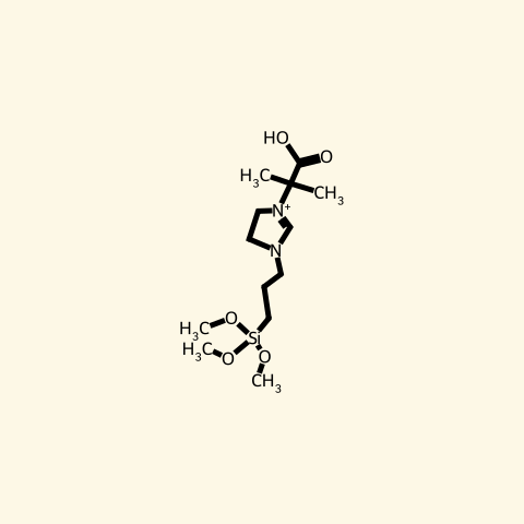 CO[Si](CCCN1C=[N+](C(C)(C)C(=O)O)CC1)(OC)OC